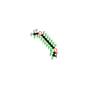 FC(F)(I)C(F)(F)OC(F)(F)C(F)(F)C(F)(F)C(F)(F)C(F)(F)C(F)(F)C(F)(F)OC(F)(F)C(F)(F)I